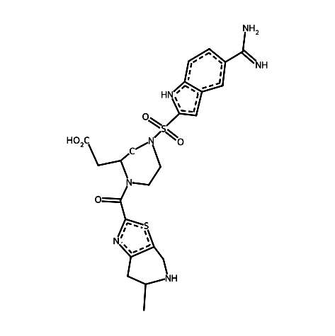 CC1Cc2nc(C(=O)N3CCN(S(=O)(=O)c4cc5cc(C(=N)N)ccc5[nH]4)CC3CC(=O)O)sc2CN1